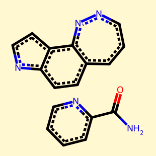 NC(=O)c1ccccn1.c1cnnc2c(c1)ccc1nccc12